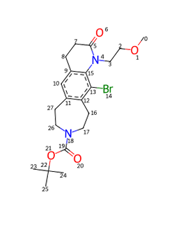 COCCN1C(=O)CCc2cc3c(c(Br)c21)CCN(C(=O)OC(C)(C)C)CC3